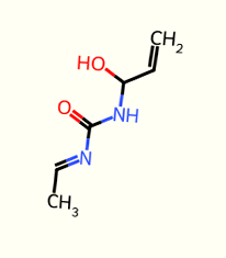 C=CC(O)NC(=O)N=CC